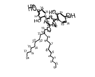 CCCCCCCCCCC(CCCCCCCC)COc1nc(-c2ccc(O)cc2O)nc(-c2ccc(O)cc2O)n1